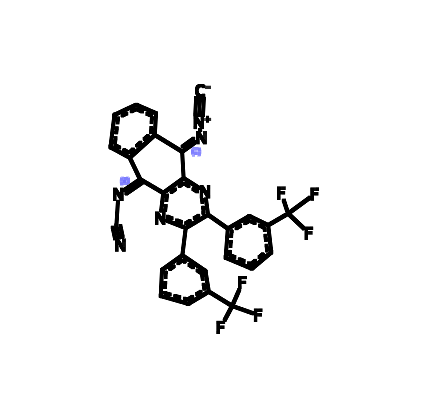 [C-]#[N+]/N=C1\c2ccccc2/C(=N/C#N)c2nc(-c3cccc(C(F)(F)F)c3)c(-c3cccc(C(F)(F)F)c3)nc21